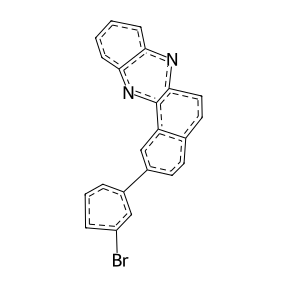 Brc1cccc(-c2ccc3ccc4nc5ccccc5nc4c3c2)c1